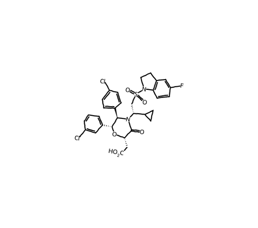 O=C(O)C[C@@H]1O[C@H](c2cccc(Cl)c2)[C@@H](c2ccc(Cl)cc2)N([C@H](CS(=O)(=O)N2CCc3cc(F)ccc32)C2CC2)C1=O